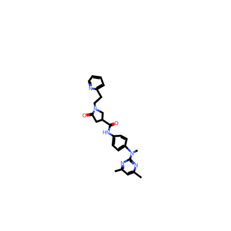 Cc1cc(C)nc(N(C)c2ccc(NC(=O)C3CC(=O)N(CCc4ccccn4)C3)cc2)n1